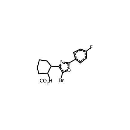 O=C(O)C1CCCCC1c1nc(-c2ccc(F)cc2)oc1Br